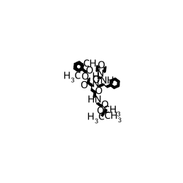 Cc1cccc(C)c1C(=O)OCC(=O)[C@H](CCCNCC(=O)OC(C)(C)C)NC(=O)[C@H](CC1CCCCC1)NC(=O)N1CCOCC1